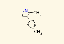 C=C1N=CC=C1c1ccc(C)cc1